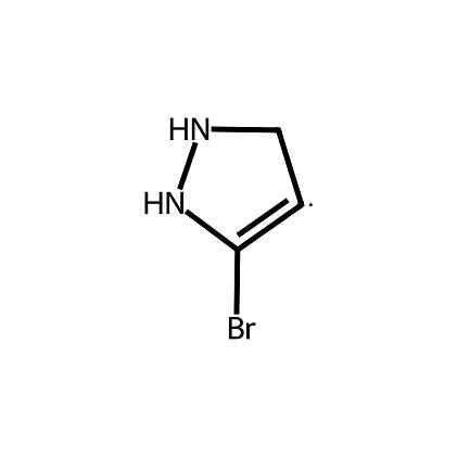 BrC1=[C]CNN1